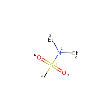 [CH2]CN(C[CH2])S(C)(=O)=O